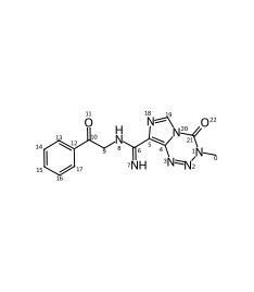 Cn1nnc2c(C(=N)NCC(=O)c3ccccc3)ncn2c1=O